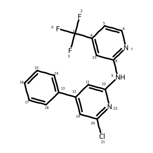 FC(F)(F)c1ccnc(Nc2cc(-c3ccccc3)cc(Cl)n2)c1